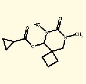 CN1CC2(CCC2)C(OC(=O)C2CC2)N(O)C1=O